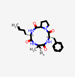 C=CCC[C@@H]1NC(=O)C2CCCN2C(=O)[C@H](Cc2ccccc2)NC(=O)C(C)(C)NC1=O